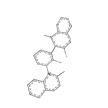 Cc1cc2ccccc2[n+](C)c1-c1cccc(-[n+]2c(C)ccc3ccccc32)c1C